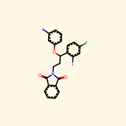 O=C1c2ccccc2C(=O)N1CCC(Oc1cccc(I)c1)c1ccc(F)cc1I